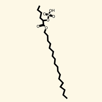 CCCCCCCCCCCCCCCCCCOC(=O)C(CCCC)OS(=O)(=O)O